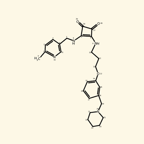 Cc1ccc(CNc2c(NCCCOc3cccc(CN4CCCCC4)c3)c(=O)c2=O)cn1